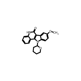 COc1ccc2c(c1)c1c(=O)[nH]c3ccccc3c1n2C1CCCCO1